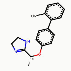 C[C@@H](Oc1ccc(-c2ccccc2N=O)cc1)C1=NCCN1